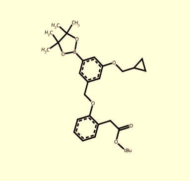 CC(C)(C)OC(=O)Cc1ccccc1OCc1cc(OCC2CC2)cc(B2OC(C)(C)C(C)(C)O2)c1